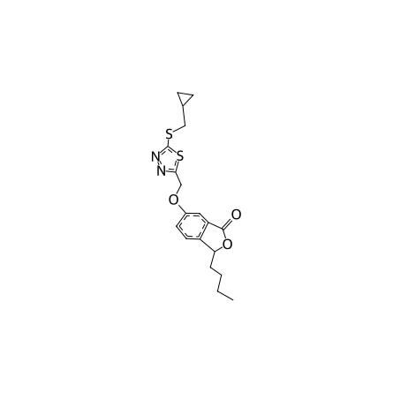 CCCCC1OC(=O)c2cc(OCc3nnc(SCC4CC4)s3)ccc21